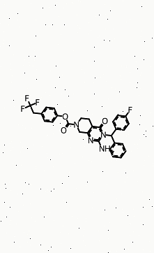 Nc1nc2c(c(=O)n1C(c1ccccc1)c1ccc(F)cc1)CCN(C(=O)Oc1ccc(CC(F)(F)F)cc1)C2